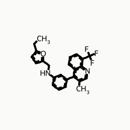 CCc1ccc(CNc2cccc(-c3c(C)cnc4c(C(F)(F)F)cccc34)c2)o1